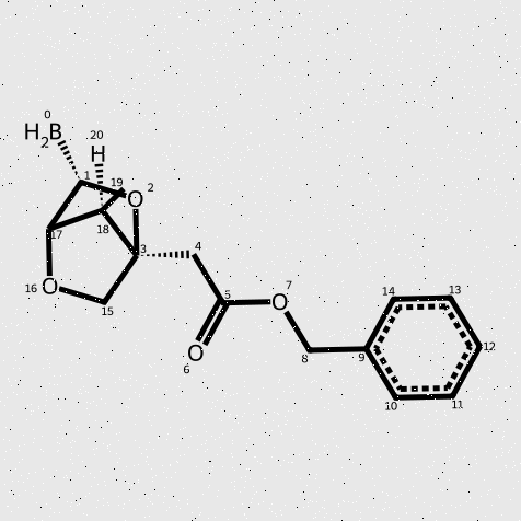 B[C@@H]1O[C@@]2(CC(=O)OCc3ccccc3)COC1[C@H]2C